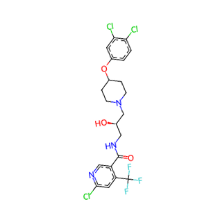 O=C(NC[C@@H](O)CN1CCC(Oc2ccc(Cl)c(Cl)c2)CC1)c1cnc(Cl)cc1C(F)(F)F